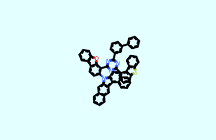 c1ccc(-c2cccc(-c3nc(-c4c(-n5c6cc7ccccc7cc6c6c7ccccc7ccc65)ccc5c4oc4ccccc45)nc(-c4cccc5sc6ccccc6c45)n3)c2)cc1